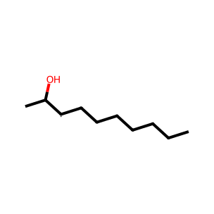 CCCCCCC[CH]C(C)O